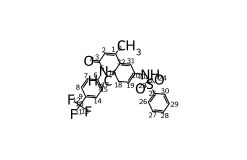 CC1=CC(=O)N(c2ccc(C(F)(F)F)cc2)C2(C)CC=C(NS(=O)(=O)c3ccccc3)C=C12